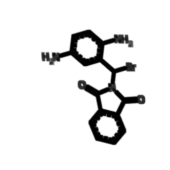 Nc1ccc(N)c(C(Br)N2C(=O)c3ccccc3C2=O)c1